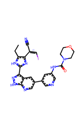 CCc1[nH]c(-c2n[nH]c3ncc(-c4cncc(NC(=O)N5CCOCC5)c4)cc23)nc1/C(C#N)=C\I